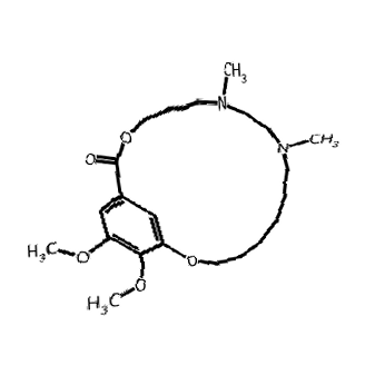 COc1cc2cc(c1OC)OCCCCCCN(C)CCN(C)CCCOC2=O